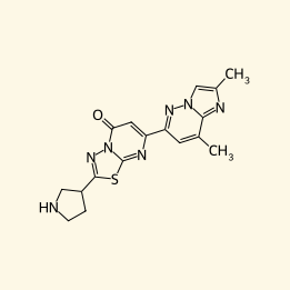 Cc1cn2nc(-c3cc(=O)n4nc(C5CCNC5)sc4n3)cc(C)c2n1